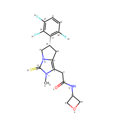 Cn1c(CC(=O)NC2COC2)c2n(c1=S)C[C@H](c1c(F)ccc(F)c1F)C2